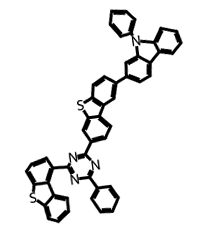 c1ccc(-c2nc(-c3ccc4c(c3)sc3ccc(-c5ccc6c7ccccc7n(-c7ccccc7)c6c5)cc34)nc(-c3cccc4sc5ccccc5c34)n2)cc1